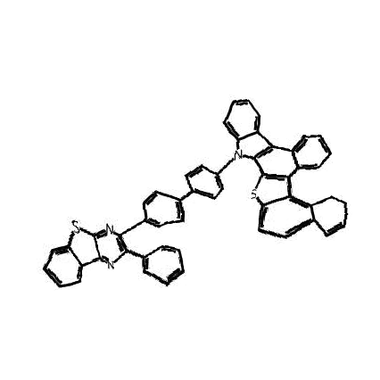 C1=Cc2ccc3sc4c(c5ccccc5c5c6ccccc6n(-c6ccc(-c7ccc(-c8nc9sc%10ccccc%10c9nc8-c8ccccc8)cc7)cc6)c45)c3c2CC1